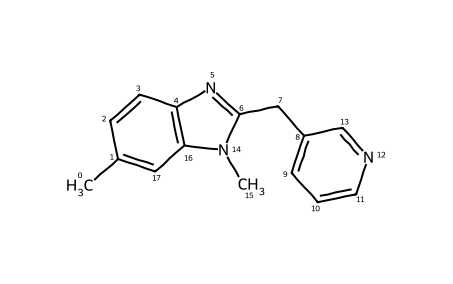 Cc1ccc2nc(Cc3cccnc3)n(C)c2c1